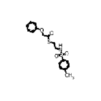 Cc1ccc(S(=O)(=O)NCCSC(=O)COc2ccccc2)cc1